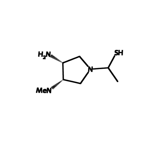 CN[C@H]1CN(C(C)S)C[C@H]1N